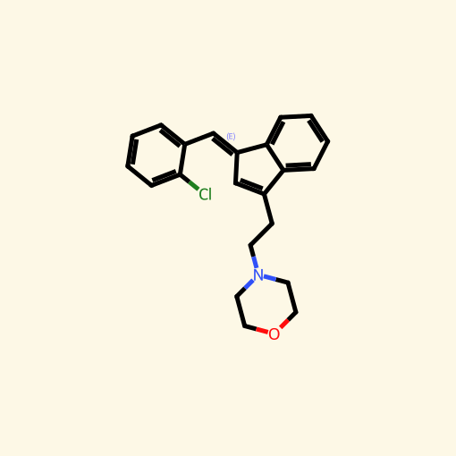 Clc1ccccc1/C=C1\C=C(CCN2CCOCC2)c2ccccc21